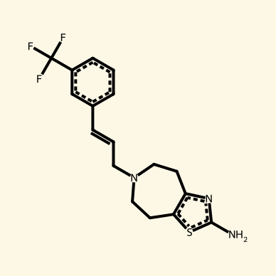 Nc1nc2c(s1)CCN(CC=Cc1cccc(C(F)(F)F)c1)CC2